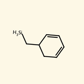 [SiH3]CC1C=CC=CC1